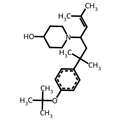 CC(C)=CC(CC(C)(C)c1ccc(OC(C)(C)C)cc1)N1CCC(O)CC1